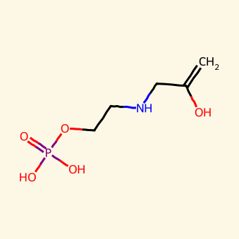 C=C(O)CNCCOP(=O)(O)O